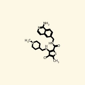 Cc1sc(C(=O)NCc2ccc3c(N)nccc3c2)c(NCC2CCN(C)CC2)c1Cl